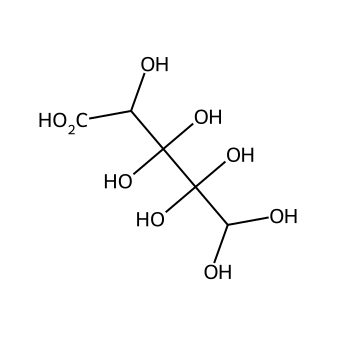 O=C(O)C(O)C(O)(O)C(O)(O)C(O)O